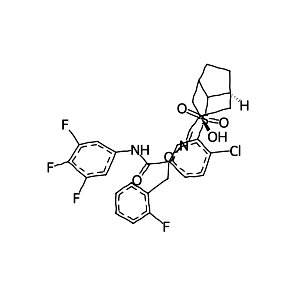 O=C(Nc1cc(F)c(F)c(F)c1)c1ccc(Cl)c(S(=O)(=O)C2C3CC[C@H]2C[C@](O)(/C=N/OCc2ccccc2F)C3)c1